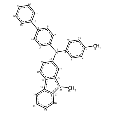 Cc1ccc(N(c2ccc(-c3ccccc3)cc2)c2ccc3c4ccccc4n(C)c3c2)cc1